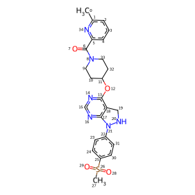 Cc1cccc(C(=O)N2CCC(Oc3ncnc4c3CNN4c3ccc(S(C)(=O)=O)cc3)CC2)n1